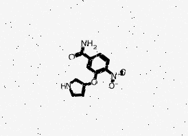 NC(=O)c1ccc([N+](=O)[O-])c(OC2CCNC2)c1